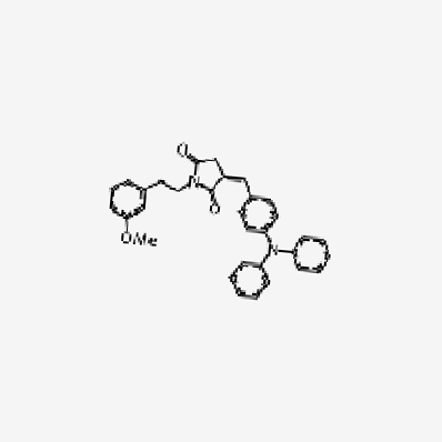 COc1cccc(CCN2C(=O)C/C(=C/c3ccc(N(c4ccccc4)c4ccccc4)cc3)C2=O)c1